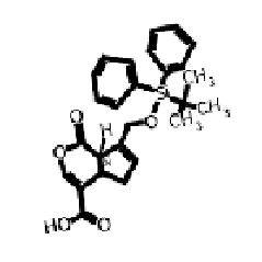 CC(C)(C)[Si](OCC1=CCC2C(C(=O)O)=COC(=O)[C@H]12)(c1ccccc1)c1ccccc1